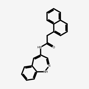 O=C(Cc1cccc2ccccc12)NC1=Cc2ccccc2NN=C1